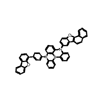 c1ccc2c(c1)B1c3ccccc3N(c3ccc4oc5c6ccccc6ccc5c4c3)c3cccc(c31)N2c1ccc(-c2cccc3c2oc2ccccc23)cc1